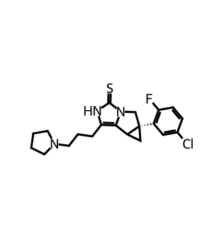 Fc1ccc(Cl)cc1[C@]12CC1c1c(CCCN3CCCC3)[nH]c(=S)n1C2